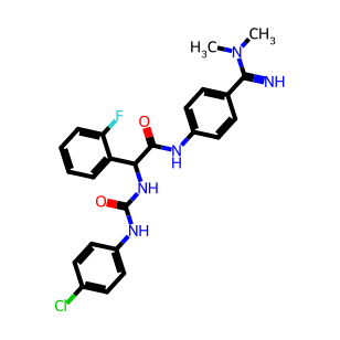 CN(C)C(=N)c1ccc(NC(=O)C(NC(=O)Nc2ccc(Cl)cc2)c2ccccc2F)cc1